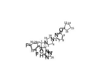 C[C@@H](N1CCN(c2cccc(OC3CCCC3)n2)CC1)[C@](O)(Cn1cncn1)c1ccc(F)cc1F